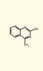 Cc1nc(S)nc2ccccc12